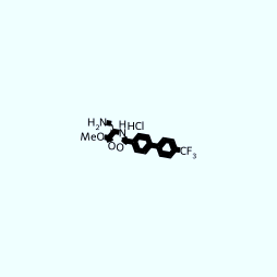 COC(=O)[C@H](CN)NC(=O)c1ccc(-c2ccc(C(F)(F)F)cc2)cc1.Cl